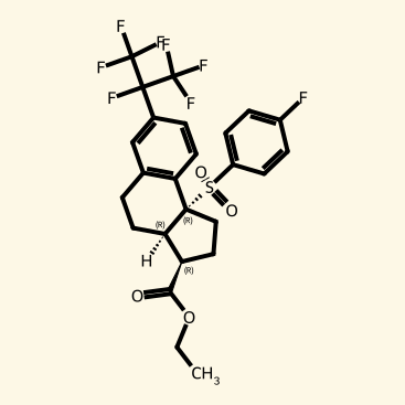 CCOC(=O)[C@@H]1CC[C@]2(S(=O)(=O)c3ccc(F)cc3)c3ccc(C(F)(C(F)(F)F)C(F)(F)F)cc3CC[C@H]12